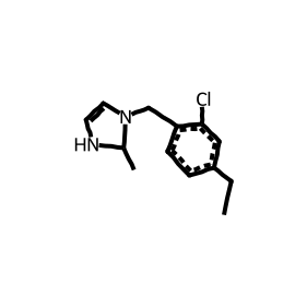 CCc1ccc(CN2C=CNC2C)c(Cl)c1